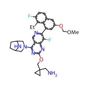 CCc1c(F)ccc2cc(OCOC)cc(-c3ncc4c(N5CC6CCC(C5)N6)nc(OCC5(CN)CC5)nc4c3F)c12